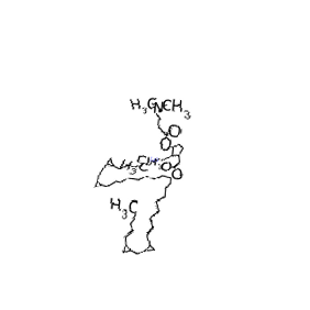 CC/C=C\CC1C(CC(=O)OC(CCCCCCCCC2CC2CC2CC2CCCCC)CCCCCCCCC2CC2CC2CC2CCCCC)CCC1OC(=O)CCCN(C)C